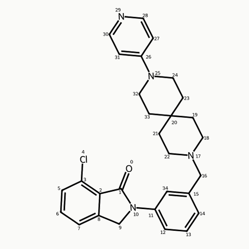 O=C1c2c(Cl)cccc2CN1c1cccc(CN2CCC3(CC2)CCN(c2ccncc2)CC3)c1